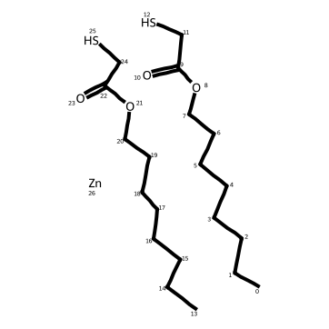 CCCCCCCCOC(=O)CS.CCCCCCCCOC(=O)CS.[Zn]